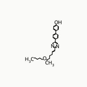 CCCCCOC(C)CCCC=Cc1ncc(-c2ccc(-c3ccc(O)cc3)cc2)cn1